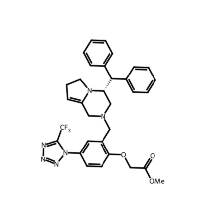 COC(=O)COc1ccc(-n2nnnc2C(F)(F)F)cc1CN1CC2=CCCN2[C@H](C(c2ccccc2)c2ccccc2)C1